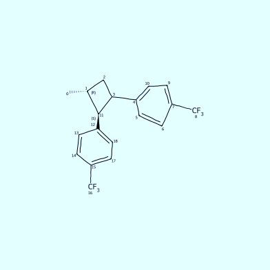 C[C@@H]1CC(c2ccc(C(F)(F)F)cc2)[C@H]1c1ccc(C(F)(F)F)cc1